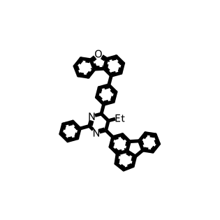 CCC1C(c2cc3c4c(cccc4c2)-c2ccccc2-3)=NC(c2ccccc2)=NC1c1ccc(-c2cccc3oc4ccccc4c23)cc1